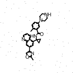 Cc1nc(-c2cc(C3(NC(=O)c4cc(N5CCNCC5)ccc4C)CC3)c3cccnc3c2)co1